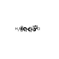 NS(=O)(=O)c1ccc(-c2cnc(-n3ccc4c(Cl)ncnc43)nc2)nc1